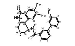 CN(C(=O)c1cccc(-c2cccc(F)c2)c1)[C@H]1CNCc2[nH]c(=O)c3cc(F)c(F)cc3c21